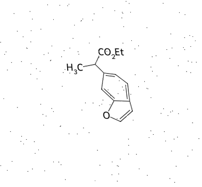 CCOC(=O)C(C)c1ccc2ccoc2c1